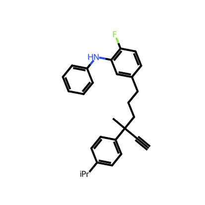 C#CC(C)(CCCc1ccc(F)c(Nc2ccccc2)c1)c1ccc(C(C)C)cc1